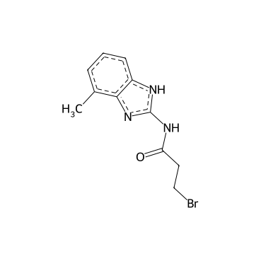 Cc1cccc2[nH]c(NC(=O)CCBr)nc12